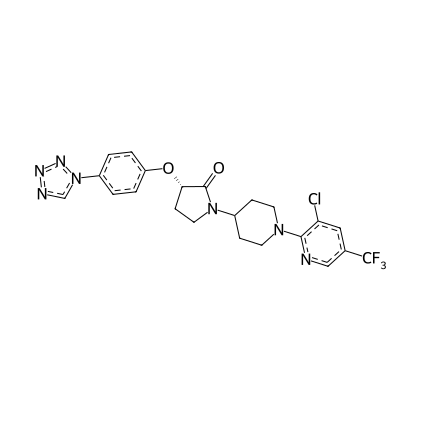 O=C1[C@@H](Oc2ccc(-n3cnnn3)cc2)CCN1C1CCN(c2ncc(C(F)(F)F)cc2Cl)CC1